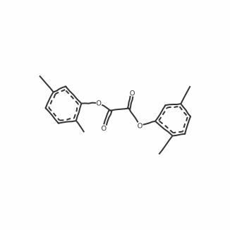 Cc1ccc(C)c(OC(=O)C(=O)Oc2cc(C)ccc2C)c1